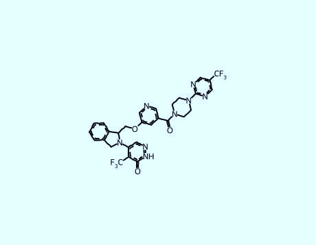 O=C(c1cncc(OCC2c3ccccc3CN2c2cn[nH]c(=O)c2C(F)(F)F)c1)N1CCN(c2ncc(C(F)(F)F)cn2)CC1